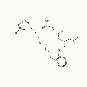 COc1cccc(CCCCCCCCc2ccccc2OCC(CN(C)C)OC(=O)CCC(=O)O)c1